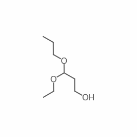 CCCOC(CCO)OCC